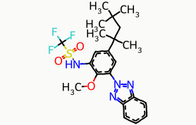 COc1c(NS(=O)(=O)C(F)(F)F)cc(C(C)(C)CC(C)(C)C)cc1-n1nc2ccccc2n1